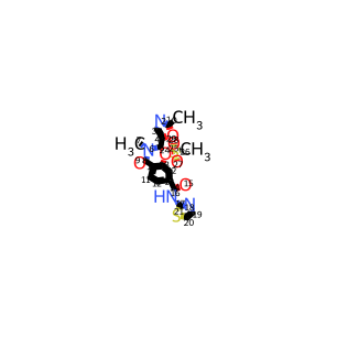 Cc1ncc(CN(C)C(=O)c2ccc(C(=O)Nc3nccs3)cc2OS(C)(=O)=O)o1